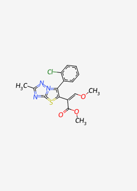 COC=C(C(=O)OC)c1sc2nc(C)nn2c1-c1ccccc1Cl